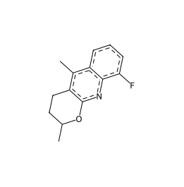 Cc1c2c(nc3c(F)cccc13)OC(C)CC2